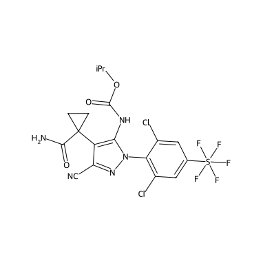 CC(C)OC(=O)Nc1c(C2(C(N)=O)CC2)c(C#N)nn1-c1c(Cl)cc(S(F)(F)(F)(F)F)cc1Cl